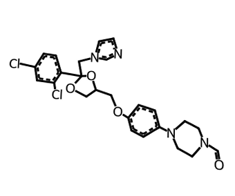 O=CN1CCN(c2ccc(OCC3COC(Cn4ccnc4)(c4ccc(Cl)cc4Cl)O3)cc2)CC1